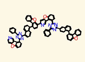 c1ccc(-c2nc(-c3ccc4c(-c5cccc6oc7ccccc7c56)cccc4c3)nc(-c3cccc4oc5cc(-c6ccc(-c7cccc8c(-c9nc(-c%10ccccc%10)nc(-c%10cccc%11oc%12ccncc%12c%10%11)n9)cccc78)c7c6oc6ccccc67)ncc5c34)n2)cc1